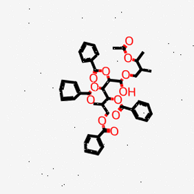 CC(=O)OC(C)C(C)COC(O)C(OC(=O)c1ccccc1)C(OC(=O)c1ccccc1)C(OC(=O)c1ccccc1)C(C)COC(=O)c1ccccc1